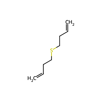 C=CCCSCCC=C